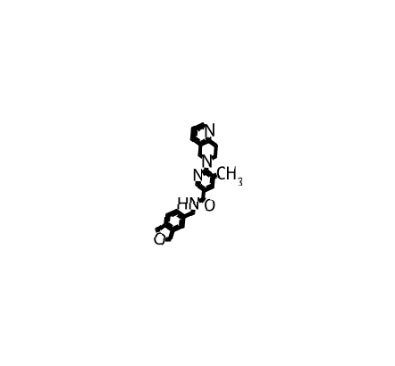 Cc1cc(C(=O)NCc2ccc3c(c2)COC3)cnc1N1CCc2ncccc2C1